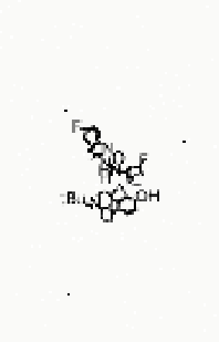 CC(C)(C)CN1CCC2(CC1)CN(c1ccc(F)cc1NC(=O)Nc1nc3ccc(F)cc3s1)c1c(O)ccc(Cl)c12